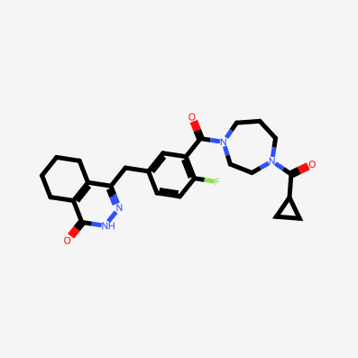 O=C(c1cc(Cc2n[nH]c(=O)c3c2CCCC3)ccc1F)N1CCCN(C(=O)C2CC2)CC1